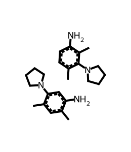 Cc1cc(C)c(N2CCCC2)cc1N.Cc1ccc(N)c(C)c1N1CCCC1